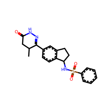 CC1CC(=O)NN=C1c1ccc2c(c1)CCC2NS(=O)(=O)c1ccccc1